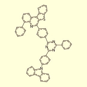 c1ccc(-c2nc(-c3ccc(-c4nc5c(-c6ccccc6)cccc5c5c4sc4ccccc45)cc3)nc(-c3ccc(-n4c5ccccc5c5ccccc54)cc3)n2)cc1